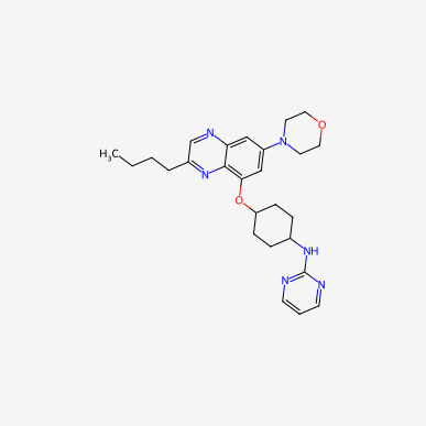 CCCCc1cnc2cc(N3CCOCC3)cc(OC3CCC(Nc4ncccn4)CC3)c2n1